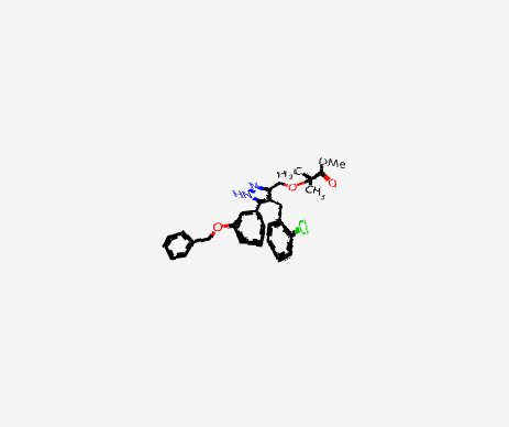 COC(=O)C(C)(C)OCc1n[nH]c(-c2cccc(OCc3ccccc3)c2)c1Cc1ccccc1Cl